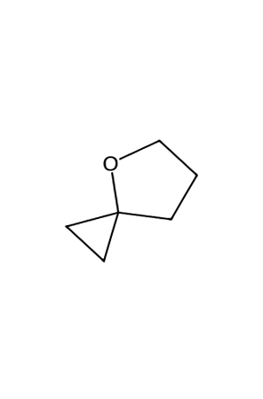 C1COC2(C1)CC2